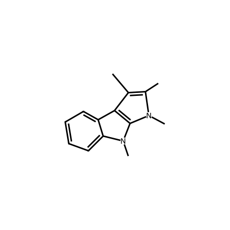 Cc1c(C)n(C)c2c1c1ccccc1n2C